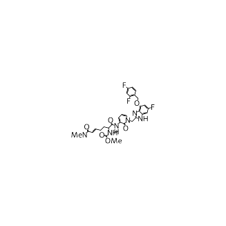 CNC(=O)/C=C/CCC(NC(=O)OC)C(=O)Nc1cccn(Cc2nc3c(OCc4ccc(F)cc4F)cc(F)cc3[nH]2)c1=O